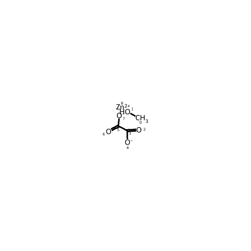 CO.O=C([O-])C(=O)[O-].[Zn+2]